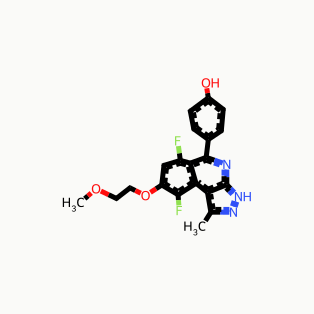 COCCOc1cc(F)c2c(-c3ccc(O)cc3)nc3[nH]nc(C)c3c2c1F